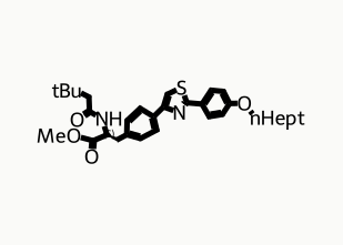 CCCCCCCOc1ccc(-c2nc(-c3ccc(C[C@H](NC(=O)CC(C)(C)C)C(=O)OC)cc3)cs2)cc1